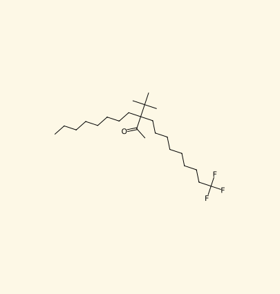 CCCCCCCCC(CCCCCCCCC(F)(F)F)(C(C)=O)C(C)(C)C